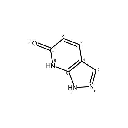 O=c1ccc2[c]n[nH]c2[nH]1